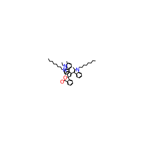 CCCCCCCCn1c(C)c(C(=CC2(c3ccc(N(CC)CC)cc3)OC(=O)c3ccccc32)c2c(C)n(CCCCCCCC)c3ccccc23)c2ccccc21